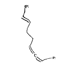 CC(C)C=C=CCCC=CC(C)C